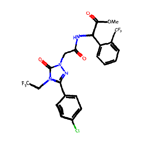 COC(=O)C(NC(=O)Cn1nc(-c2ccc(Cl)cc2)n(CC(F)(F)F)c1=O)c1ccccc1C(F)(F)F